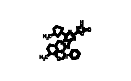 CC1CCC(Cn2c(N3CCOC[C@H]3c3ccccc3)nc3nc(-c4n[nH]c(=O)o4)nc(C4CCCC(C)C4)c32)CC1